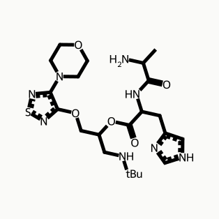 CC(N)C(=O)NC(Cc1c[nH]cn1)C(=O)OC(CNC(C)(C)C)COc1nsnc1N1CCOCC1